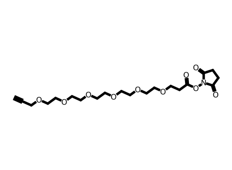 C#CCOCCOCCOCCOCCOCCOCCC(=O)ON1C(=O)CCC1=O